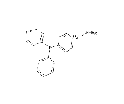 CC(=O)NN.c1ccc(P(c2ccccc2)c2ccccc2)cc1